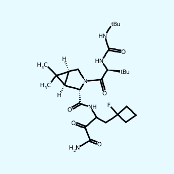 CC(C)(C)NC(=O)N[C@H](C(=O)N1C[C@H]2[C@@H]([C@H]1C(=O)NC(CC1(F)CCC1)C(=O)C(N)=O)C2(C)C)C(C)(C)C